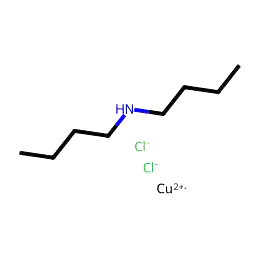 CCCCNCCCC.[Cl-].[Cl-].[Cu+2]